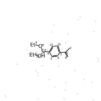 C=C(C)c1ccc([SiH](OCC)OCC)cc1